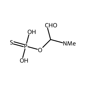 CNC(C=O)OP(O)(O)=S